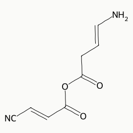 N#CC=CC(=O)OC(=O)CC=CN